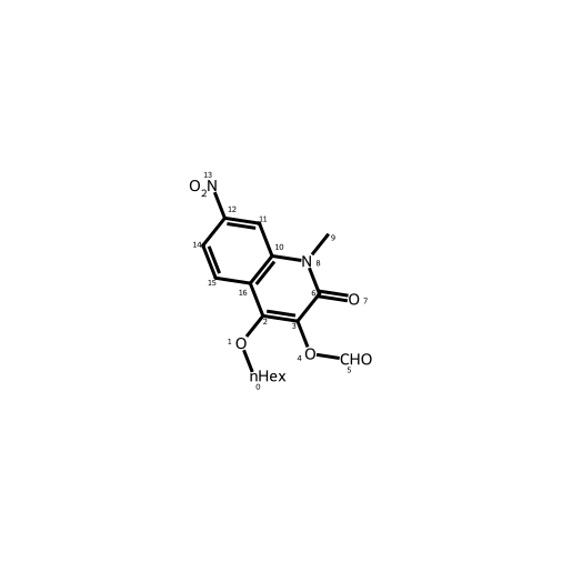 CCCCCCOc1c(OC=O)c(=O)n(C)c2cc([N+](=O)[O-])ccc12